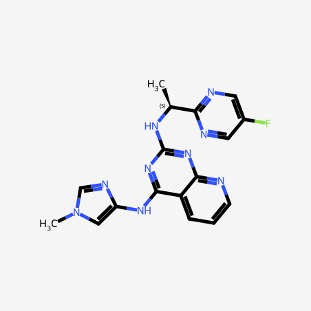 C[C@H](Nc1nc(Nc2cn(C)cn2)c2cccnc2n1)c1ncc(F)cn1